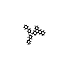 c1ccc(-c2ccc(N(c3ccc(-c4ccccc4)cc3)c3ccc(-c4cc5ccccc5cc4-c4ccccc4)cc3)cc2)cc1